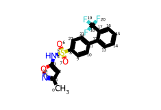 Cc1cc(NS(=O)(=O)c2ccc(-c3ccccc3C(F)(F)F)cc2)on1